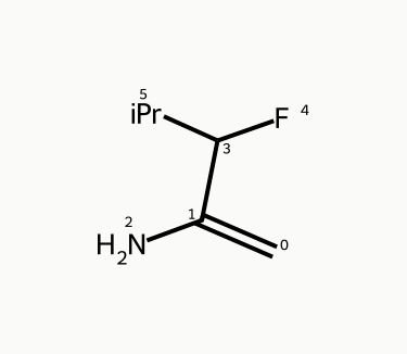 C=C(N)C(F)C(C)C